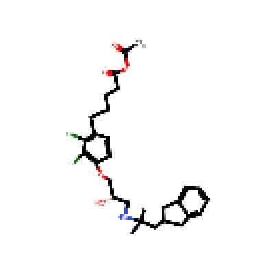 CC(C)(CC1Cc2ccccc2C1)NC[C@H](O)COc1ccc(CCCCC(=O)OC(=O)C(F)(F)F)c(Cl)c1Cl